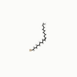 CC(=O)CCCCCCC/C=C\CCCCCCCCBr